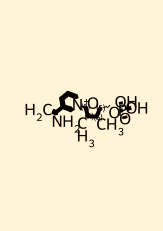 C=C(N)c1ccc[n+]([C@H]2O[C@H](COP(=O)(O)O)[C@@H](C)[C@H]2C)c1